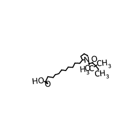 CCC(C)(C)C(=O)C(=O)N1CCCC1CCCCCCCCCCC(=O)O